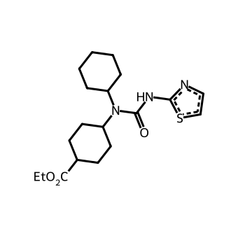 CCOC(=O)C1CCC(N(C(=O)Nc2nccs2)C2CCCCC2)CC1